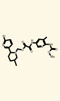 CCc1ccc(C2CCC(C)CN2COC(=O)C(=O)Nc2cnc(NC(=O)OC(C)(C)C)c(C)c2)cn1